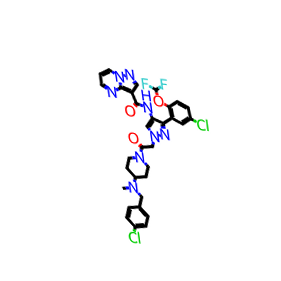 CN(Cc1ccc(Cl)cc1)C1CCN(C(=O)Cn2cc(NC(=O)c3cnn4cccnc34)c(-c3cc(Cl)ccc3OC(F)F)n2)CC1